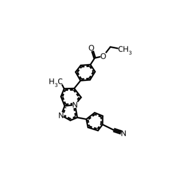 CCOC(=O)c1ccc(-c2cn3c(-c4ccc(C#N)cc4)cnc3cc2C)cc1